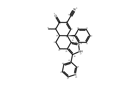 CC1C(=O)C(C#N)=C[C@]2(c3ccccc3)c3n[nH]c(-c4cccnc4)c3CCC12